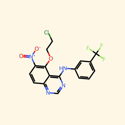 O=[N+]([O-])c1ccc2ncnc(Nc3cccc(C(F)(F)F)c3)c2c1OCCCl